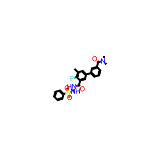 Cc1cc(-c2cccc(C(=O)N(C)C)c2)cc(C(=O)NNS(=O)(=O)c2ccccc2)c1F